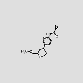 COCC1CC(c2ccc(NC(=O)C3CC3)nc2)CCO1